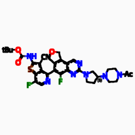 CC(=O)N1CCN([C@H]2CCN(c3ncc4c5c(c(-c6ncc(F)c7sc(NC(=O)OC(C)(C)C)c(C#N)c67)c(F)c4n3)COC5)C2)CC1